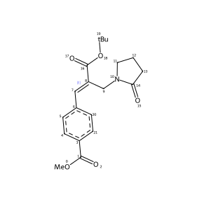 COC(=O)c1ccc(/C=C(\CN2CCCC2=O)C(=O)OC(C)(C)C)cc1